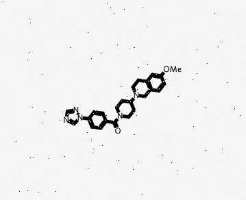 COc1ccc2c(c1)CCN(C1CCN(C(=O)c3ccc(-n4cncn4)cc3)CC1)C2